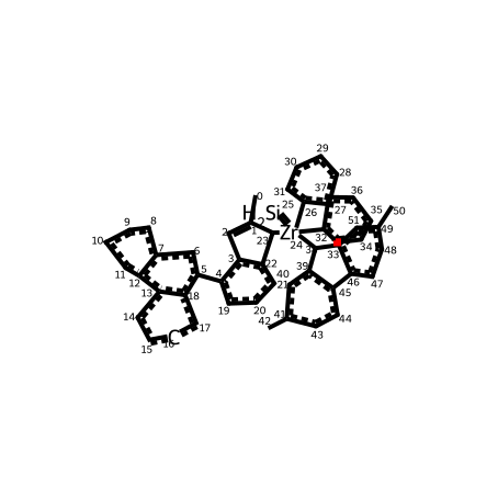 CC1=Cc2c(-c3cc4ccccc4c4ccccc34)cccc2[CH]1[Zr](=[SiH2])([c]1ccccc1)([c]1ccccc1)[CH]1c2cc(C)ccc2-c2ccc(C)cc21